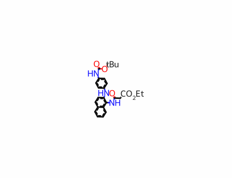 CCOC(=O)CC(=O)Nc1c(Nc2ccc(NC(=O)OC(C)(C)C)cc2)ccc2ccccc12